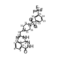 O=c1[nH]nc2c3c(cccc13)N=C(CN1CCN(S(=O)(=O)c3cccc(C(F)(F)F)c3)CC1)N2